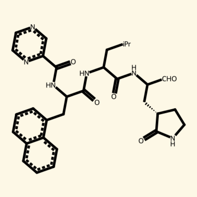 CC(C)CC(NC(=O)C(Cc1cccc2ccccc12)NC(=O)c1cnccn1)C(=O)NC(C=O)C[C@@H]1CCNC1=O